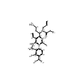 C=CCN(C(=O)CF)C(CCO)c1nc(C)nc(N[C@H](C)c2cccc(C(F)F)c2F)c1C=C